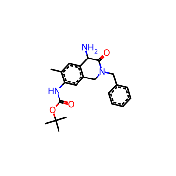 Cc1cc2c(cc1NC(=O)OC(C)(C)C)CN(Cc1ccccc1)C(=O)C2N